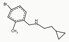 Cc1cc(Br)ccc1CNCCC1CC1